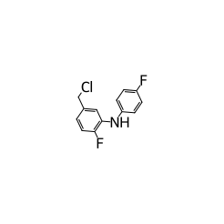 Fc1ccc(Nc2cc(CCl)ccc2F)cc1